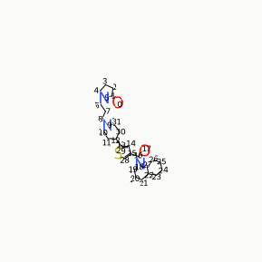 O=C1CCCN1CCCN1CCC(c2cc(C(=O)N3CCCC4CCCCC43)cs2)CC1